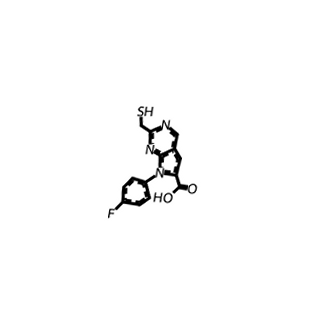 O=C(O)c1cc2cnc(CS)nc2n1-c1ccc(F)cc1